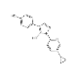 N#Cc1ccc(-c2cnn(-c3ccc(C4CC4)cn3)c2O)cc1